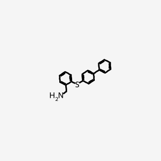 NCc1ccccc1Sc1ccc(-c2ccccc2)cc1